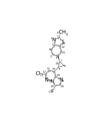 Cc1nc2ccc([C@H]3CC3c3cc(Cl)nn4c(F)cnc34)cc2s1